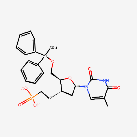 Cc1cn([C@H]2C[C@H](CCP(=O)(O)O)[C@@H](CO[Si](c3ccccc3)(c3ccccc3)C(C)(C)C)O2)c(=O)[nH]c1=O